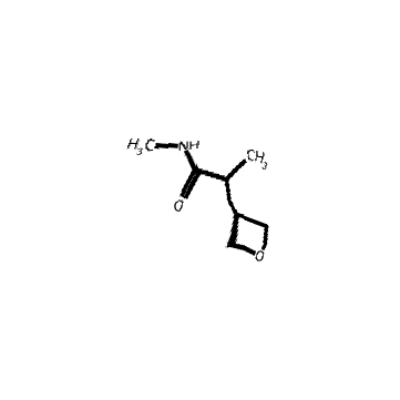 CNC(=O)C(C)C1COC1